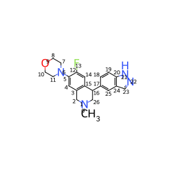 CN1Cc2cc(N3CCOCC3)c(F)cc2C(c2ccc3[nH]ncc3c2)C1